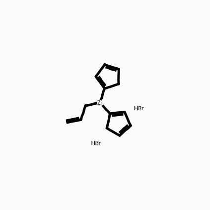 Br.Br.C=C[CH2][Zr]([C]1=CC=CC1)[C]1=CC=CC1